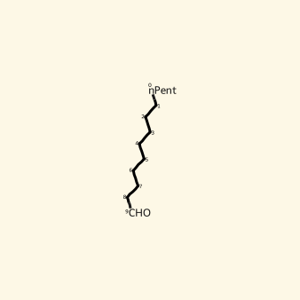 [CH2]CCCCCCCCCCCCC=O